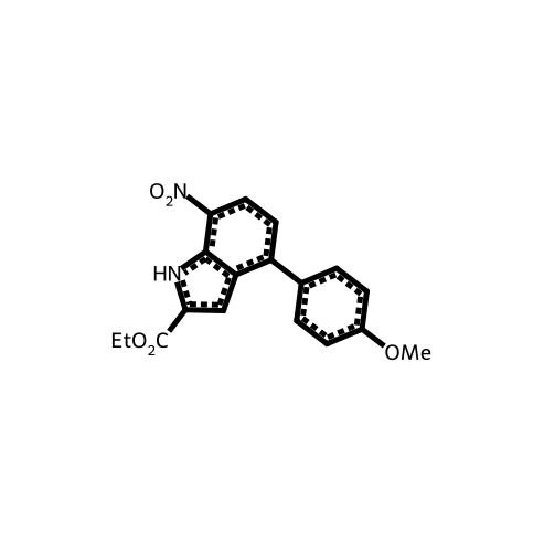 CCOC(=O)c1cc2c(-c3ccc(OC)cc3)ccc([N+](=O)[O-])c2[nH]1